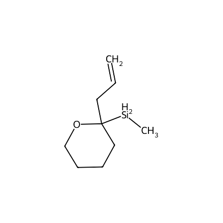 C=CCC1([SiH2]C)CCCCO1